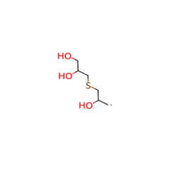 [CH2]C(O)CSCC(O)CO